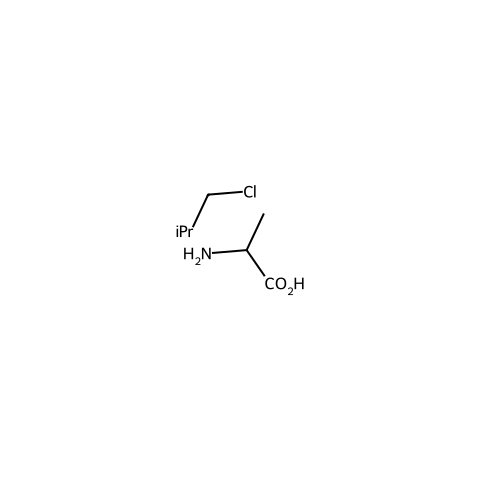 CC(C)CCl.CC(N)C(=O)O